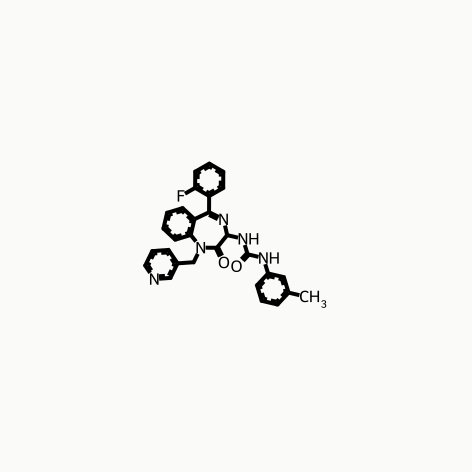 Cc1cccc(NC(=O)NC2N=C(c3ccccc3F)c3ccccc3N(Cc3cccnc3)C2=O)c1